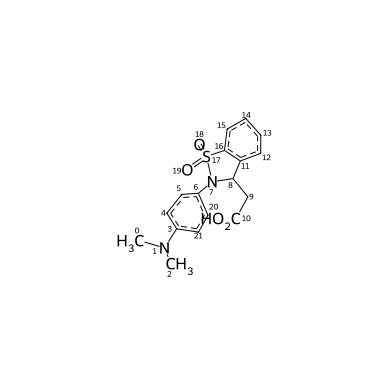 CN(C)c1ccc(N2C(CC(=O)O)c3ccccc3S2(=O)=O)cc1